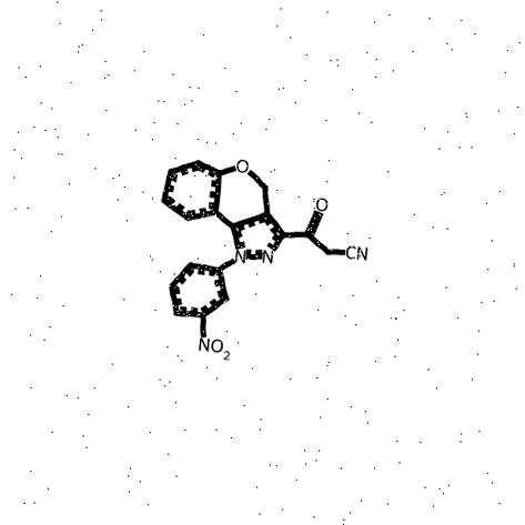 N#CCC(=O)c1nn(-c2cccc([N+](=O)[O-])c2)c2c1COc1ccccc1-2